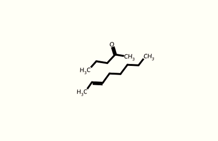 CC=CCCCCC.CCCC(C)=O